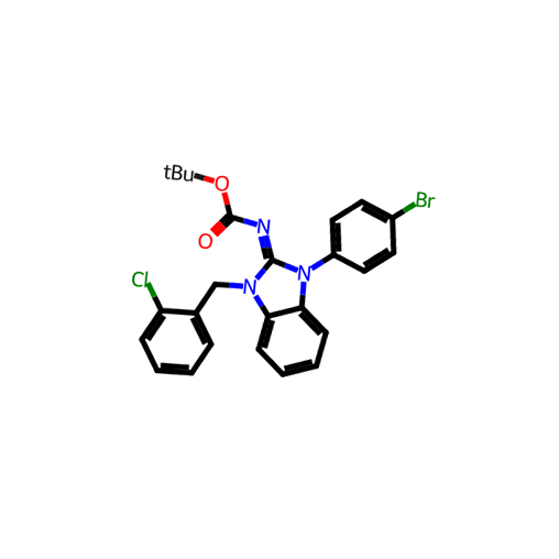 CC(C)(C)OC(=O)/N=c1\n(Cc2ccccc2Cl)c2ccccc2n1-c1ccc(Br)cc1